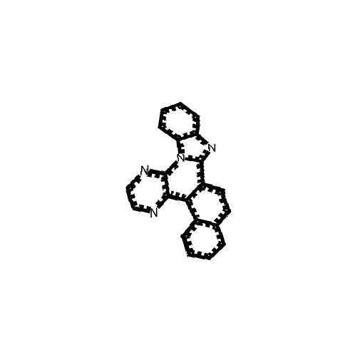 c1ccc2c(c1)ccc1c2c2nccnc2n2c3ccccc3nc12